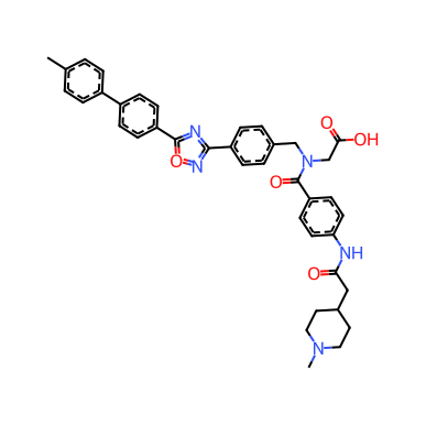 Cc1ccc(-c2ccc(-c3nc(-c4ccc(CN(CC(=O)O)C(=O)c5ccc(NC(=O)CC6CCN(C)CC6)cc5)cc4)no3)cc2)cc1